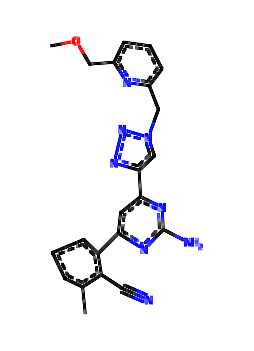 COCc1cccc(Cn2cc(-c3cc(-c4cccc(C)c4C#N)nc(N)n3)nn2)n1